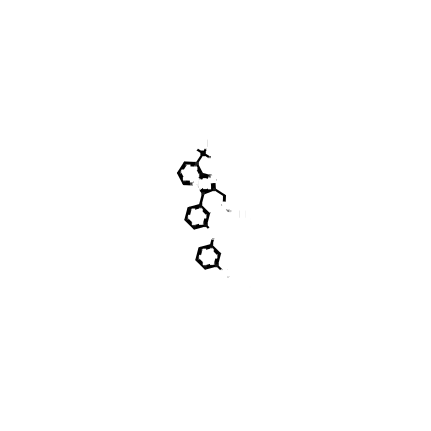 CNCc1nc2c(C(F)(F)F)cccn2c1-c1cccc(Oc2cccc(S(C)(=O)=O)c2)c1